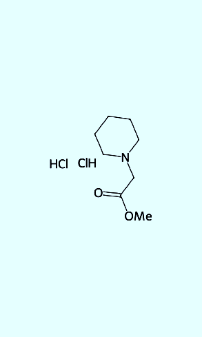 COC(=O)CN1CCCCC1.Cl.Cl